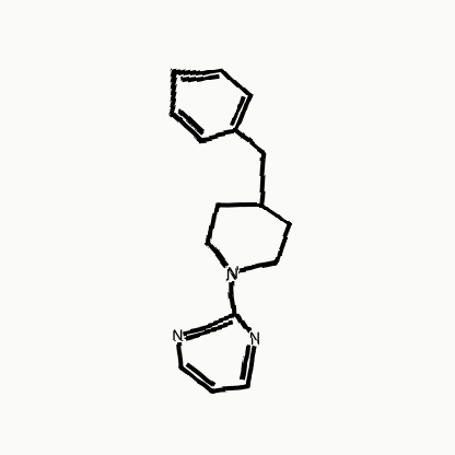 c1ccc(CC2CCN(c3ncccn3)CC2)cc1